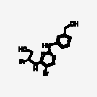 CC(C)[C@H](CO)Nc1nc(Nc2cccc(CO)c2)ncc1Br